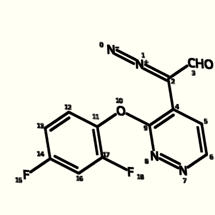 [N-]=[N+]=C(C=O)c1ccnnc1Oc1ccc(F)cc1F